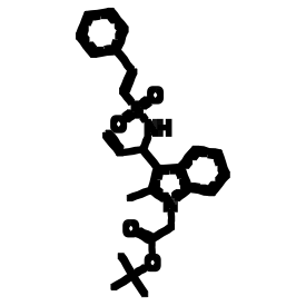 C=CC(NS(=O)(=O)/C=C/c1ccccc1)c1c(C)n(CC(=O)OC(C)(C)C)c2ccccc12